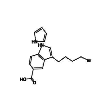 O=C(O)c1ccc2[nH]cc(CCCCBr)c2c1.c1cc[nH]c1